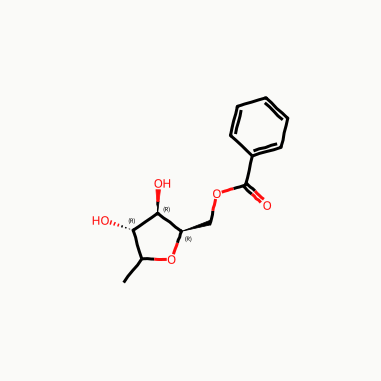 CC1O[C@H](COC(=O)c2ccccc2)[C@H](O)[C@H]1O